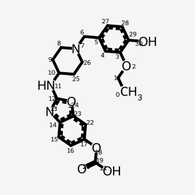 CCOc1cc(CN2CCC(Nc3nc4ccc(OC(=O)O)cc4o3)CC2)ccc1O